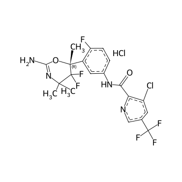 CC1(C)N=C(N)O[C@](C)(c2cc(NC(=O)c3ncc(C(F)(F)F)cc3Cl)ccc2F)C1(F)F.Cl